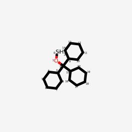 [SiH3]OC(C1CCCCC1)(C1CCCCC1)C1CCCCC1